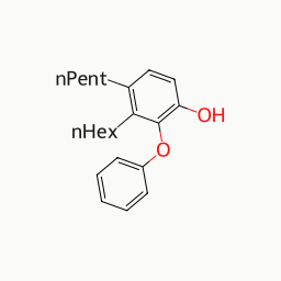 CCCCCCc1c(CCCCC)ccc(O)c1Oc1ccccc1